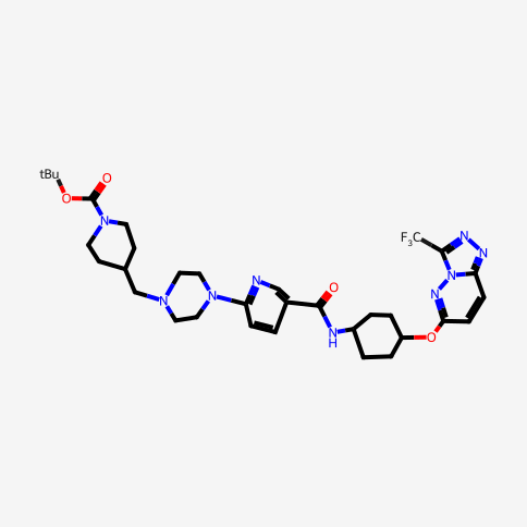 CC(C)(C)OC(=O)N1CCC(CN2CCN(c3ccc(C(=O)NC4CCC(Oc5ccc6nnc(C(F)(F)F)n6n5)CC4)cn3)CC2)CC1